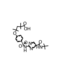 CC(C)(C)NC(=O)c1cnc(NS(=O)(=O)c2ccc(OC(C)(C)CC(C)(C)C(=O)O)cc2)nc1